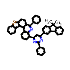 CC1(C)c2ccccc2-c2cc(-c3cc(-c4cccc5c4nc(-c4ccccc4)c4ccc6sc7ccccc7c6c45)nc(-c4ccccc4)n3)ccc21